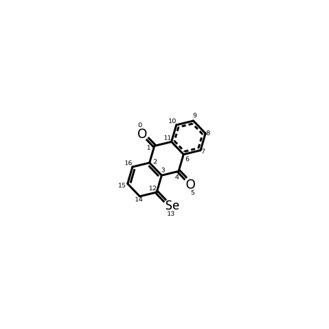 O=C1C2=C(C(=O)c3ccccc31)C(=[Se])CC=C2